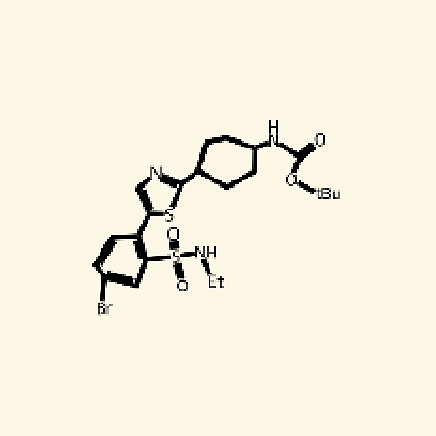 CCNS(=O)(=O)c1cc(Br)ccc1-c1cnc(C2CCC(NC(=O)OC(C)(C)C)CC2)s1